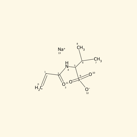 C=CC(=O)NC(C(C)C)S(=O)(=O)[O-].[Na+]